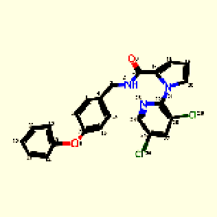 O=C(NCc1ccc(Oc2ccccc2)cc1)c1cccn1-c1ncc(Cl)cc1Cl